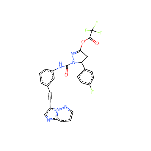 O=C(Nc1cccc(C#Cc2cnc3cccnn23)c1)N1N=C(OC(=O)C(F)(F)F)CC1c1ccc(F)cc1